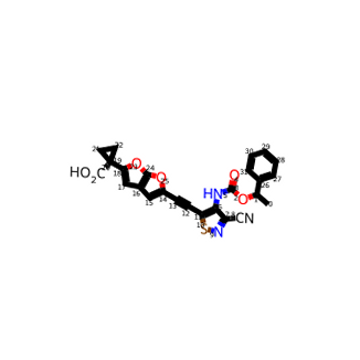 CC(OC(=O)Nc1c(C#N)nsc1C#Cc1cc2cc(C3(C(=O)O)CC3)oc2o1)c1ccccc1